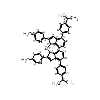 Cc1ccc(C2=Cc3c(-c4ccc(C(C)C)cc4)cccc3[CH]2[Zr][CH]2C(c3ccc(C)cn3)=Cc3c(-c4ccc(C(C)C)cc4)cccc32)nc1